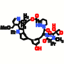 CCn1c(-c2cnccc2COC)c2c3cc(ccc31)-c1cc(O)cc(c1)C[C@H](NC(=O)[C@H](C(C)C)N(C)C(=O)C1(O)COC1)C(=O)N1CCC[C@H](N1)C(=O)OCC(C)(C)C2